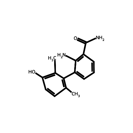 Cc1ccc(O)c(C)c1-c1cccc(C(N)=O)c1N